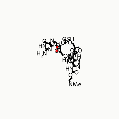 CNCCOC(=O)Nc1ncnc2c1ncn2[C@@H]1O[C@@]23CO[C@@H]1[C@@H]2O[P@@](=O)(S)OCC1O[C@@H](n2cnc4c(=O)[nH]c(N)nc42)[C@H](O[P@@](=O)(S)OC3)[C@@H]1F